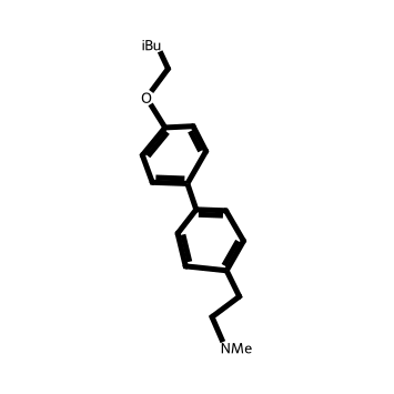 CCC(C)COc1ccc(-c2ccc(CCNC)cc2)cc1